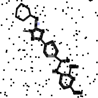 COc1ccc(NC(=O)c2ccc(-c3nn(C)/c(=N\C4CCCCC4)s3)cc2)c(OC)n1